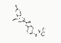 Nc1ccccc1NC(=O)c1ccc(CC(=O)N2CCC(C(=O)c3ccc(F)cc3)CC2)cc1